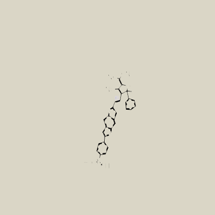 CN(C)c1ccc(-c2cc3cc4sc(/C=C/C5=C(C#N)C(=C(C#N)C#N)OC5(c5ccccc5)C(F)(F)F)cc4cc3s2)cc1